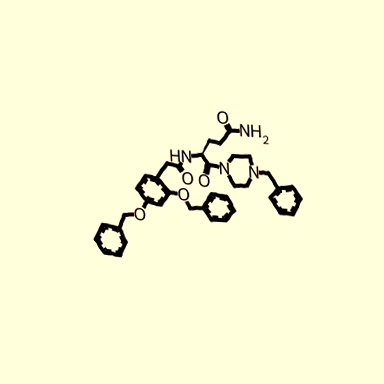 NC(=O)CC[C@H](NC(=O)Cc1ccc(OCc2ccccc2)cc1OCc1ccccc1)C(=O)N1CCN(Cc2ccccc2)CC1